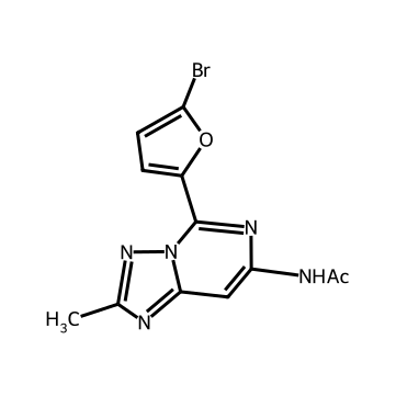 CC(=O)Nc1cc2nc(C)nn2c(-c2ccc(Br)o2)n1